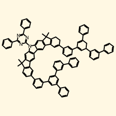 CC1(C)C2=C(C=C(c3cccc(C4=CC(c5cccc(-c6ccccc6)c5)CC(c5ccccc5)=C4)c3)CC2)c2cc3c4cc5c(cc4n(-c4nc(-c6ccccc6)nc(-c6ccccc6)n4)c3cc21)C(C)(C)c1ccc(-c2cccc(-c3cc(-c4ccccc4)cc(-c4cccc(-c6ccccc6)c4)c3)c2)cc1-5